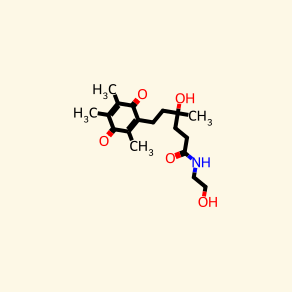 CC1=C(C)C(=O)C(CCC(C)(O)CCC(=O)NCCO)=C(C)C1=O